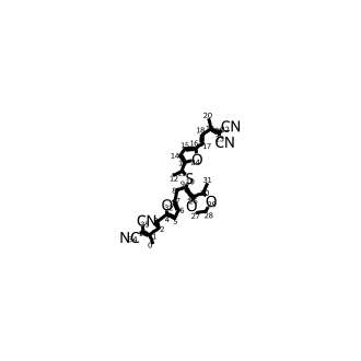 CC(/C=C/c1ccc(C/C(SC(C)c2ccc(/C=C/C(C)=C(C#N)C#N)o2)=C2\OCCOC2C)o1)=C(C#N)C#N